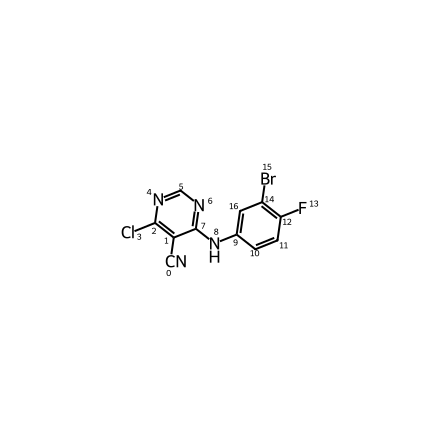 N#Cc1c(Cl)ncnc1Nc1ccc(F)c(Br)c1